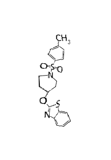 Cc1ccc(S(=O)(=O)N2CCC(Oc3nc4ccccc4s3)CC2)cc1